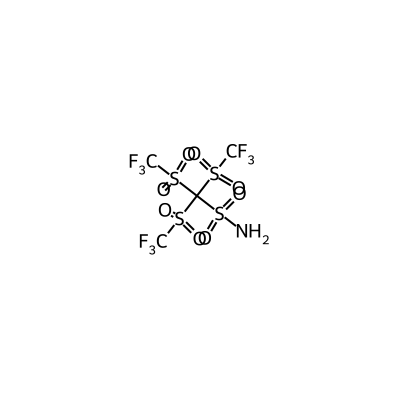 NS(=O)(=O)C(S(=O)(=O)C(F)(F)F)(S(=O)(=O)C(F)(F)F)S(=O)(=O)C(F)(F)F